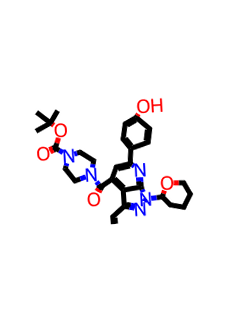 C=Cc1nn(C2CCCCO2)c2nc(-c3ccc(O)cc3)cc(C(=O)N3CCN(C(=O)OC(C)(C)C)CC3)c12